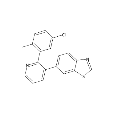 Cc1ccc(Cl)cc1-c1ncccc1-c1ccc2ncsc2c1